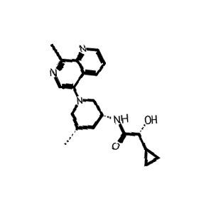 Cc1ncc(N2C[C@@H](C)C[C@@H](NC(=O)[C@H](O)C3CC3)C2)c2cccnc12